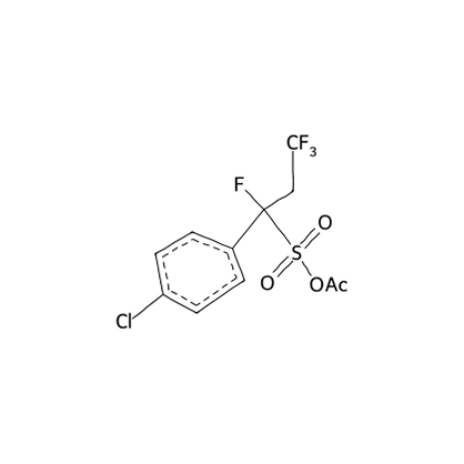 CC(=O)OS(=O)(=O)C(F)(CC(F)(F)F)c1ccc(Cl)cc1